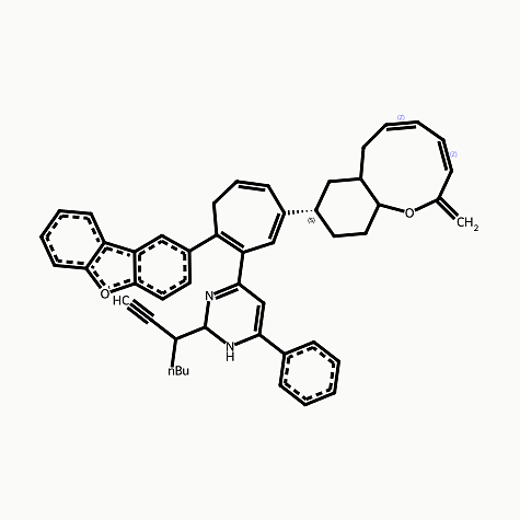 C#CC(CCCC)C1N=C(C2=C(c3ccc4oc5ccccc5c4c3)CC=CC([C@H]3CCC4OC(=C)/C=C\C=C/CC4C3)=C2)C=C(c2ccccc2)N1